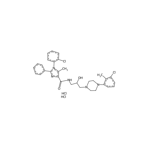 Cc1c(Cl)cccc1N1CCN(CC(O)CNC(=O)c2nc(-c3ccccc3)n(-c3ccccc3Cl)c2C)CC1.Cl.Cl